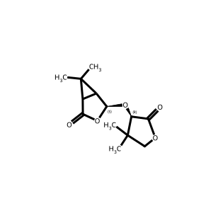 CC1(C)C2C(=O)O[C@H](O[C@H]3C(=O)OCC3(C)C)C21